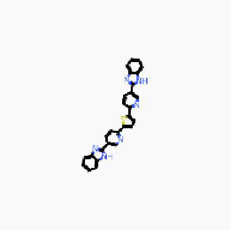 c1ccc2[nH]c(-c3ccc(-c4ccc(-c5ccc(-c6nc7ccccc7[nH]6)cn5)s4)nc3)nc2c1